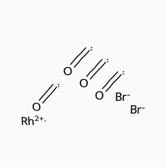 [Br-].[Br-].[C]=O.[C]=O.[C]=O.[C]=O.[Rh+2]